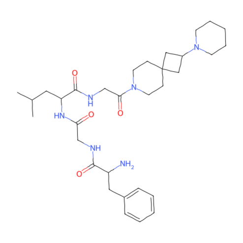 CC(C)CC(NC(=O)CNC(=O)C(N)Cc1ccccc1)C(=O)NCC(=O)N1CCC2(CC1)CC(N1CCCCC1)C2